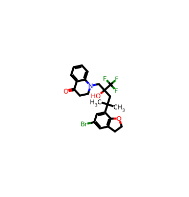 CC(C)(CC(O)(CN1CCC(=O)c2ccccc21)C(F)(F)F)c1cc(Br)cc2c1OCC2